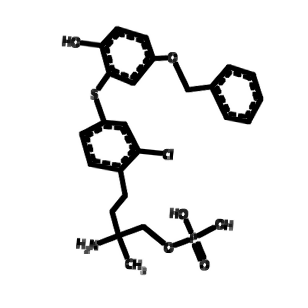 CC(N)(CCc1ccc(Sc2cc(OCc3ccccc3)ccc2O)cc1Cl)COP(=O)(O)O